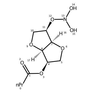 CCCC(=O)O[C@@H]1CO[C@H]2[C@@H]1OC[C@H]2ON(O)O